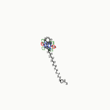 CCCCCCCCCCCCCCCCCCC12N(Cl)C(=O)N(Cl)C1(C1CCCCC1)N(Cl)C(=O)N2Cl